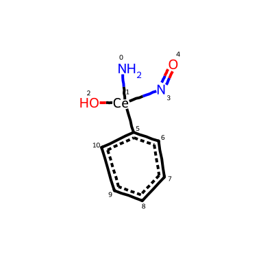 [NH2][Ce]([OH])([N]=O)[c]1ccccc1